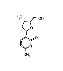 Nc1ccn([C@H]2C[C@H](N)[C@@H](CO)O2)c(=O)n1